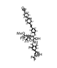 COC(=O)NC(C(=O)N[C@@H](Cc1ccc(C#Cc2cnc(N3CCN(C4COC4)CC3)nc2)cc1)[C@@H](O)CNCc1c(F)cc(/C(C=N)=C/NC(F)F)cc1F)C(C)(C)C(F)(F)F